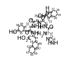 N[C@@H](Cc1c[nH]cn1)C(=O)N[C@@H](Cc1c[nH]c2ccccc12)C(=O)N[C@@H](CO)C(=O)N[C@@H](Cc1ccc(O)cc1)C(=O)N[C@H](Cc1ccc2ccccc2c1)C(=O)O